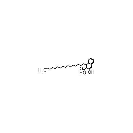 CCCCCCCCCCCCCCCCc1c(C(=O)O)c(O)cc2ccccc12